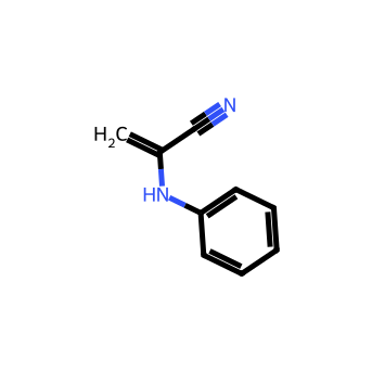 C=C(C#N)Nc1ccccc1